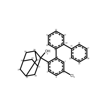 OC1(c2ccc(Cl)cc2-c2ccccc2-c2ccccc2)C2CC3CC(C2)CC1C3